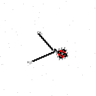 CCCCCCCCCCCCCCCCCCCc1[nH+]ccn1CCCCCCCCCCCCCCCCCC.Fc1c(F)c(F)c([B-](c2c(F)c(F)c(F)c(F)c2F)(c2c(F)c(F)c(F)c(F)c2F)c2c(F)c(F)c(F)c(F)c2F)c(F)c1F